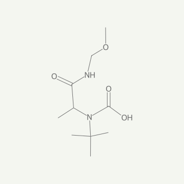 COCNC(=O)C(C)N(C(=O)O)C(C)(C)C